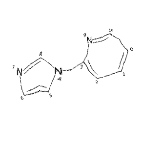 c1ccc(-n2ccnc2)nc1